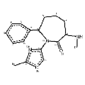 CNC1CCCC(c2ccccc2)N(c2coc(C)n2)C1=O